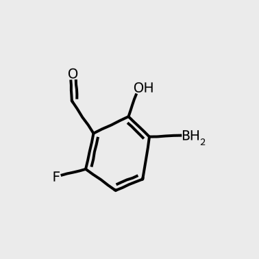 Bc1ccc(F)c(C=O)c1O